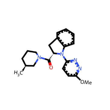 COc1ccc(N2c3ccccc3C[C@H]2C(=O)N2CCC[C@H](C)C2)nn1